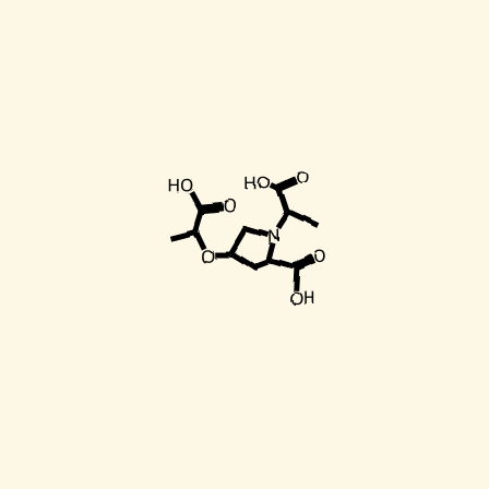 CC(OC1CC(C(=O)O)N(C(C)C(=O)O)C1)C(=O)O